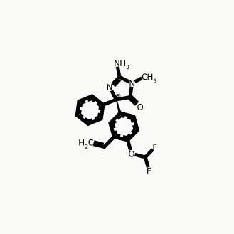 C=Cc1cc([C@@]2(c3ccccc3)N=C(N)N(C)C2=O)ccc1OC(F)F